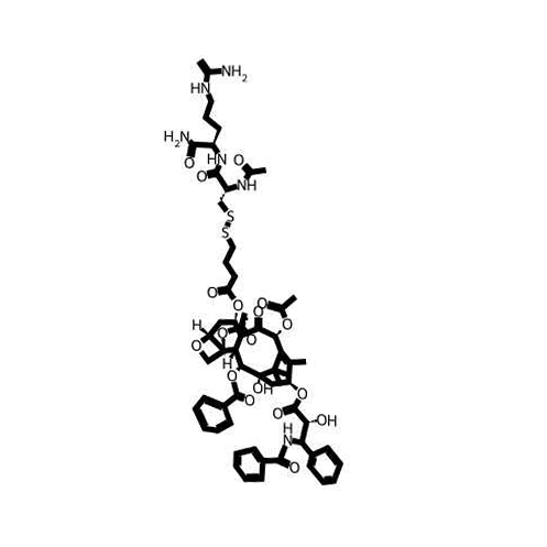 C=C(N)NCCC[C@@H](NC(=O)[C@@H](CSSCCCC(=O)O[C@H]1C[C@H]2OC[C@@]2(OC(C)=O)[C@H]2[C@H](OC(=O)c3ccccc3)[C@]3(O)C[C@H](OC(=O)[C@H](O)C(NC(=O)c4ccccc4)c4ccccc4)C(C)=C([C@@H](OC(C)=O)C(=O)[C@]12C)C3(C)C)NC(C)=O)C(N)=O